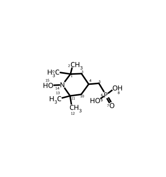 CC1(C)CC(CP(=O)(O)O)CC(C)(C)N1O